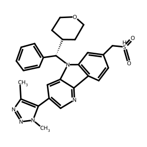 Cc1nnn(C)c1-c1cnc2c3ccc(C[SH](=O)=O)cc3n([C@H](c3ccccc3)C3CCOCC3)c2c1